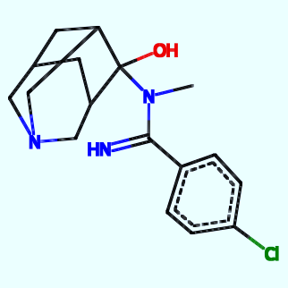 CN(C(=N)c1ccc(Cl)cc1)C1(O)C2CC3CC1CN(C3)C2